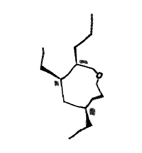 CCC[C@H]1OC[C@@H](CC)C[C@H]1CC